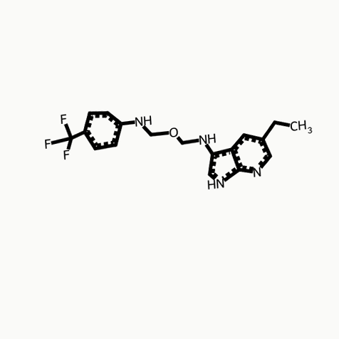 CCc1cnc2[nH]cc(NCOCNc3ccc(C(F)(F)F)cc3)c2c1